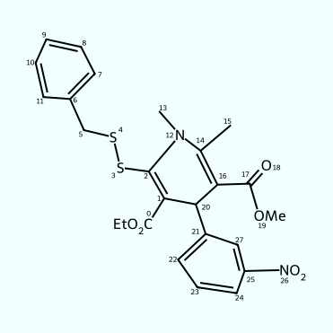 CCOC(=O)C1=C(SSCc2ccccc2)N(C)C(C)=C(C(=O)OC)C1c1cccc([N+](=O)[O-])c1